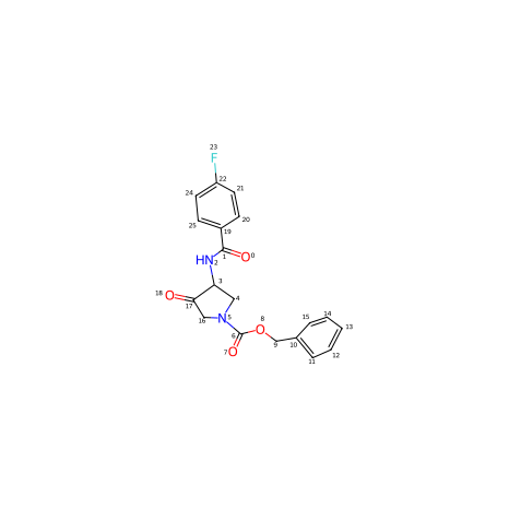 O=C(NC1CN(C(=O)OCc2ccccc2)CC1=O)c1ccc(F)cc1